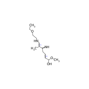 CCOCCN/C=C(\C)C(=N)C/C=C/C(O)OC